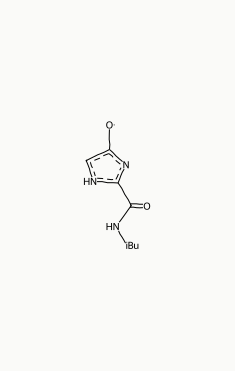 CCC(C)NC(=O)c1nc([O])c[nH]1